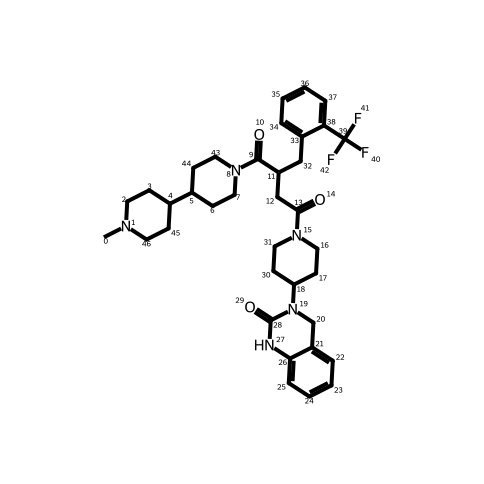 CN1CCC(C2CCN(C(=O)C(CC(=O)N3CCC(N4Cc5ccccc5NC4=O)CC3)Cc3ccccc3C(F)(F)F)CC2)CC1